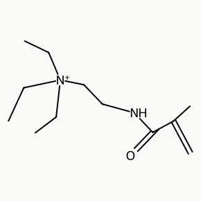 C=C(C)C(=O)NCC[N+](CC)(CC)CC